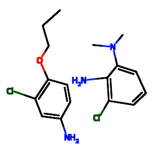 CCCOc1ccc(N)cc1Cl.CN(C)c1cccc(Cl)c1N